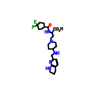 O=C(NC(CCN1CCC(NCc2ccc3c(n2)NCCC3)CC1)C(=O)O)C1CCC(F)(F)CC1